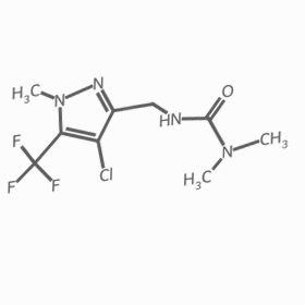 CN(C)C(=O)NCc1nn(C)c(C(F)(F)F)c1Cl